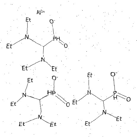 CCN(CC)C(N(CC)CC)[PH](=O)[O-].CCN(CC)C(N(CC)CC)[PH](=O)[O-].CCN(CC)C(N(CC)CC)[PH](=O)[O-].[Al+3]